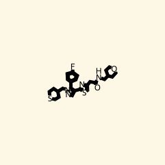 O=C(Cc1csc(-c2cnn(CC3CCSCC3)c2-c2ccc(F)cc2)n1)NCC1CCOCC1